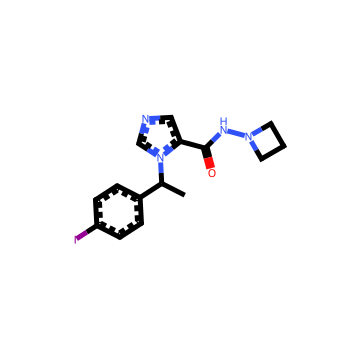 CC(c1ccc(I)cc1)n1cncc1C(=O)NN1CCC1